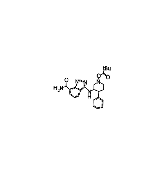 CC(C)(C)C(=O)ON1CCC(c2ccccc2)C(Nc2ncnc3c(C(N)=O)cccc23)C1